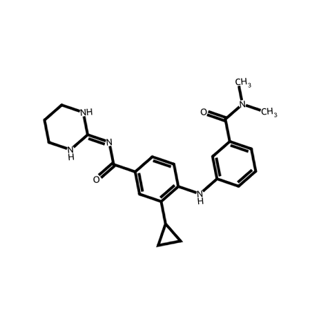 CN(C)C(=O)c1cccc(Nc2ccc(C(=O)N=C3NCCCN3)cc2C2CC2)c1